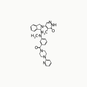 Cc1c(N2Cc3ccccc3C2CN(C)c2cccc(C(=O)N3CCN(c4ccccn4)CC3)c2)cn[nH]c1=O